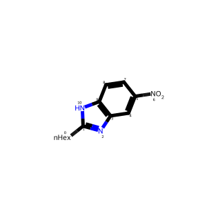 CCCCCCc1nc2cc([N+](=O)[O-])ccc2[nH]1